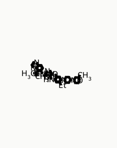 CCc1cc(Nc2ncnc(Nc3ccc4nccnc4c3P(C)C)n2)c(OC)cc1N1CCC(N2CCOC(C)C2)CC1